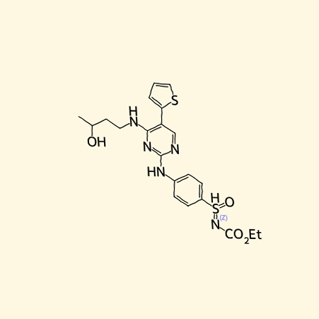 CCOC(=O)/N=[SH](=O)/c1ccc(Nc2ncc(-c3cccs3)c(NCCC(C)O)n2)cc1